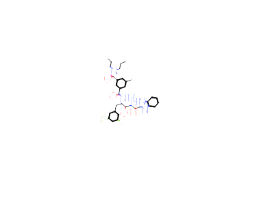 CCCN(CCC)C(=O)c1cc(C)cc(C(=O)NC(Cc2cc(F)cc(F)c2)C(O)CCc2nc3ccccc3[nH]2)c1